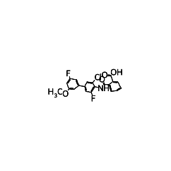 COc1cc(F)cc(-c2cc(F)c(NC(=O)c3ccccc3C(=O)O)c(Cl)c2)c1